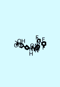 C[C@@H](O)C(=O)N1CCC(c2ccc(NC(=O)c3cnn4ccc(N5C[C@@H](F)C[C@@H]5c5cc(F)ccc5F)nc34)cc2)CC1